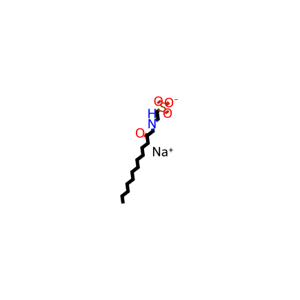 CCCCCCCCCCCC(=O)CNCCS(=O)(=O)[O-].[Na+]